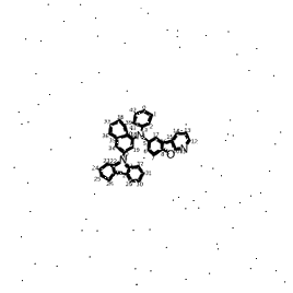 c1ccc(N(c2ccc3oc4ncccc4c3c2)c2cc(-n3c4ccccc4c4ccccc43)cc3ccccc23)cc1